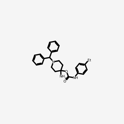 CCc1ccc(NC(=O)OC2(N)CCN(C(c3ccccc3)c3ccccc3)CC2)cc1